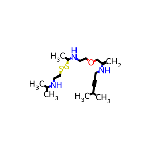 C=C(COCCNC(C)SSCCNC(C)C)NCC#CC(C)C